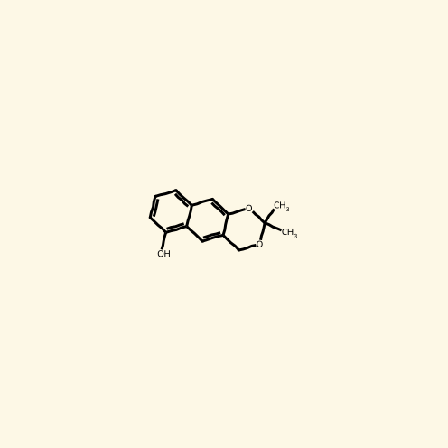 CC1(C)OCc2cc3c(O)cccc3cc2O1